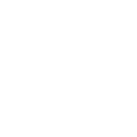 C(CCc1ccccc1)=C1CCCCC1